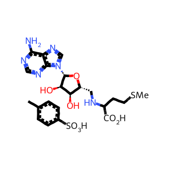 CSCCC(NC[C@H]1O[C@@H](n2cnc3c(N)ncnc32)[C@H](O)[C@@H]1O)C(=O)O.Cc1ccc(S(=O)(=O)O)cc1